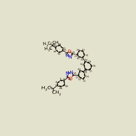 CC(C)c1ccc(-c2nnc(-c3cccc(-c4cccc(-c5cccc(-c6nnc(-c7ccc(C(C)(C)C)cc7)o6)c5)c4)c3)o2)cc1